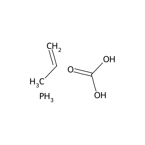 C=CC.O=C(O)O.P